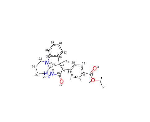 CCOC(=O)c1ccc(C(C(N)=O)C(C)(C)c2ccccc2N2CCCCC2)cc1